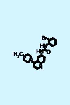 CN1CCN(c2ccnc3ccc(NC(=O)Nc4ccccc4Br)cc23)CC1